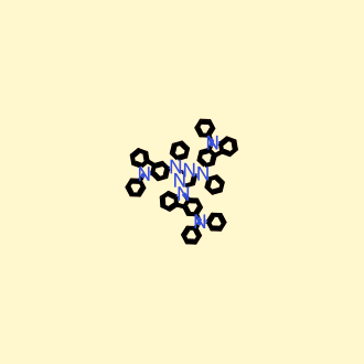 c1ccc(N(c2ccccc2)c2ccc3c(c2)c2ccccc2n3-c2cc(N(c3ccccc3)c3ccc4c(c3)c3ccccc3n4-c3ccccc3)nc(N(c3ccccc3)c3ccc4c(c3)c3ccccc3n4-c3ccccc3)n2)cc1